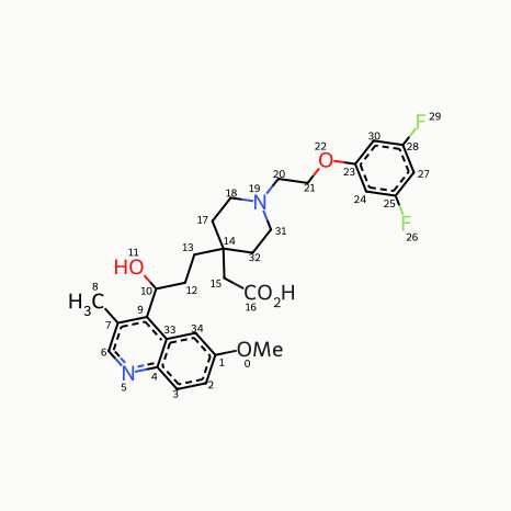 COc1ccc2ncc(C)c(C(O)CCC3(CC(=O)O)CCN(CCOc4cc(F)cc(F)c4)CC3)c2c1